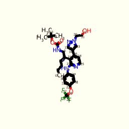 CCC/C=C(/CNC(=O)OC(C)(C)C)c1c(-c2cnn(CCO)c2)ccnc1Nc1ccc(OC(F)(F)F)cc1